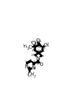 Cc1nccc(C(=O)N2CC3(C=C(C#N)C(=O)C(C)(C)C3)C2)n1